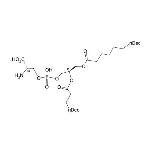 CCCCCCCCCCCCCCCC(=O)OC[C@H](COP(=O)(O)OC[C@H](N)C(=O)O)OC(=O)CCCCCCCCCCCC